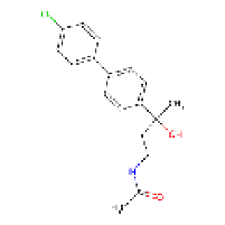 CC(=O)NCCC(C)(O)c1ccc(-c2ccc(Cl)cc2)cc1